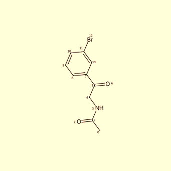 CC(=O)NCC(=O)c1cccc(Br)c1